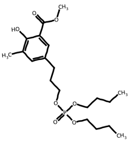 CCCCOP(=O)(OCCCC)OCCCc1cc(C)c(O)c(C(=O)OC)c1